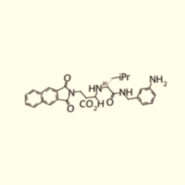 CC(C)C[C@@H](NC(CCN1C(=O)c2cc3ccccc3cc2C1=O)C(=O)O)C(=O)NCc1cccc(N)c1